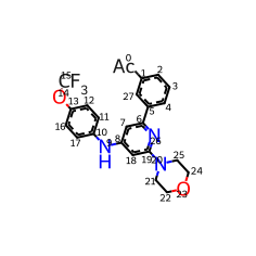 CC(=O)c1cccc(-c2cc(Nc3ccc(OC(F)(F)F)cc3)cc(N3CCOCC3)n2)c1